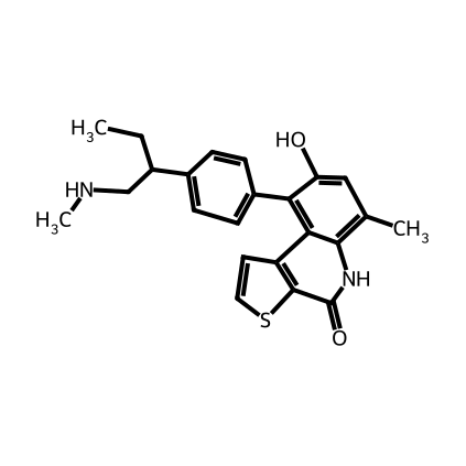 CCC(CNC)c1ccc(-c2c(O)cc(C)c3[nH]c(=O)c4sccc4c23)cc1